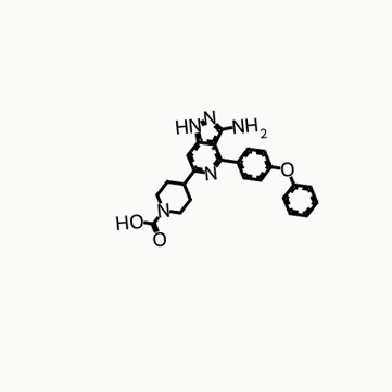 Nc1n[nH]c2cc(C3CCN(C(=O)O)CC3)nc(-c3ccc(Oc4ccccc4)cc3)c12